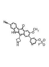 COc1cc2c(=O)c3c4ccc(C#N)cc4[nH]c3n(C3CNC3)c2cc1-c1cncc(OS(=O)(=O)F)c1